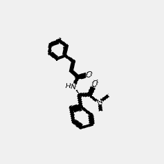 CN(C)C(=O)[C@@H](NC(=O)CCc1ccccc1)c1ccccc1